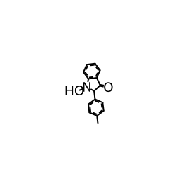 Cc1ccc(C2C(=O)c3ccccc3N2O)cc1